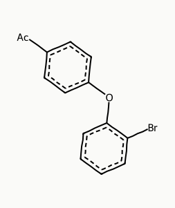 CC(=O)c1ccc(Oc2ccccc2Br)cc1